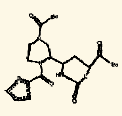 CC(C)(C)C(=O)C1CC(=O)NC(C2CN(C(=O)C(C)(C)C)CCN2C(=O)c2ccco2)C1